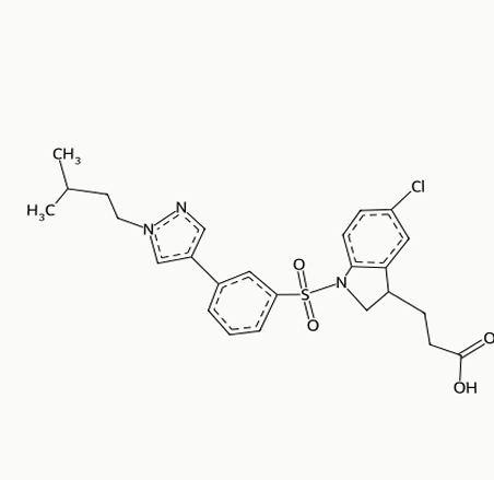 CC(C)CCn1cc(-c2cccc(S(=O)(=O)N3CC(CCC(=O)O)c4cc(Cl)ccc43)c2)cn1